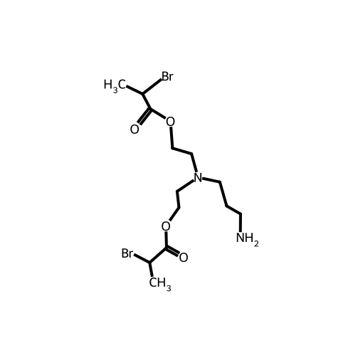 CC(Br)C(=O)OCCN(CCCN)CCOC(=O)C(C)Br